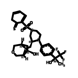 C[C@@](O)(c1ccc(N2CCN(S(=O)(=O)C3=CC=CCC3=S)C[C@@H]2CN2[C@@H]3COC[C@H]2[C@H](O)C3)cc1)C(F)(F)F